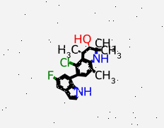 Cc1cc(-c2cc(F)cc3cc[nH]c23)c(Cl)c2c1NC(C)(C)[C@@H](O)[C@@H]2C